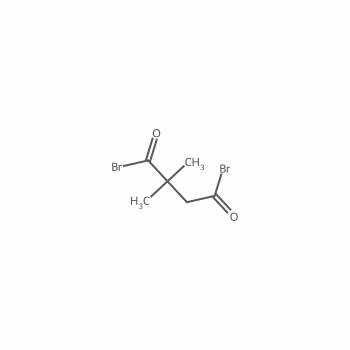 CC(C)(CC(=O)Br)C(=O)Br